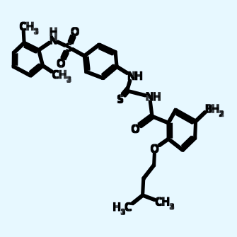 Bc1ccc(OCCC(C)C)c(C(=O)NC(=S)Nc2ccc(S(=O)(=O)Nc3c(C)cccc3C)cc2)c1